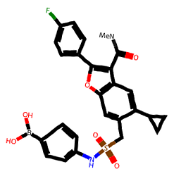 CNC(=O)c1c(-c2ccc(F)cc2)oc2cc(CS(=O)(=O)Nc3ccc(B(O)O)cc3)c(C3CC3)cc12